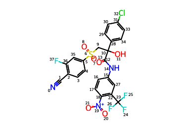 N#Cc1ccc(S(=O)(=O)CC(O)(C(=O)Nc2ccc([N+](=O)[O-])c(C(F)(F)F)c2)c2ccc(Cl)cc2)cc1F